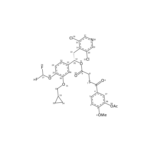 COc1ccc(C(=O)SCC(=O)O[C@@H](Cc2c(Cl)cncc2Cl)c2ccc(OC(F)F)c(OCC3CC3)c2)cc1OC(C)=O